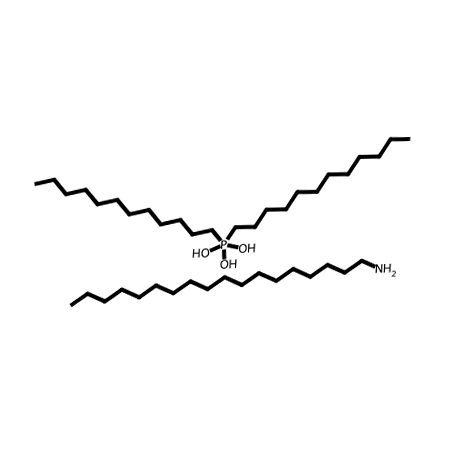 CCCCCCCCCCCCCCCCCCN.CCCCCCCCCCCCP(O)(O)(O)CCCCCCCCCCCC